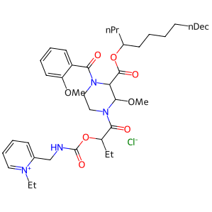 CCCCCCCCCCCCCCC(CCC)OC(=O)C1C(OC)N(C(=O)C(CC)OC(=O)NCc2cccc[n+]2CC)CCN1C(=O)c1ccccc1OC.[Cl-]